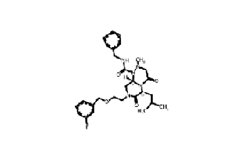 CC(C)C[C@H]1C(=O)N(CCOCc2cccc(F)c2)C[C@H]2N1C(=O)CN(C)N2C(=O)NCc1ccccc1